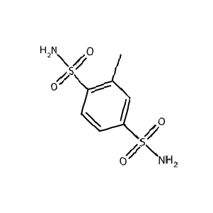 Cc1cc(S(N)(=O)=O)ccc1S(N)(=O)=O